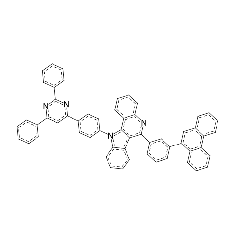 c1ccc(-c2cc(-c3ccc(-n4c5ccccc5c5c(-c6cccc(-c7cc8ccccc8c8ccccc78)c6)nc6ccccc6c54)cc3)nc(-c3ccccc3)n2)cc1